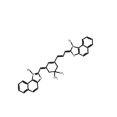 CCN1/C(=C/C=C/C2=CC(=C/c3sc4ccc5ccccc5c4[n+]3CC)/CC(C)(C)C2)Oc2ccc3ccccc3c21